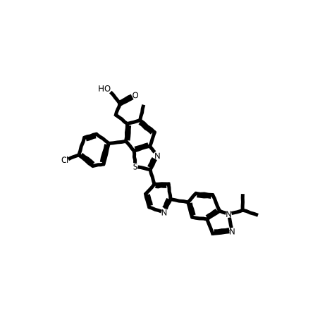 Cc1cc2nc(-c3ccnc(-c4ccc5c(cnn5C(C)C)c4)c3)sc2c(-c2ccc(Cl)cc2)c1CC(=O)O